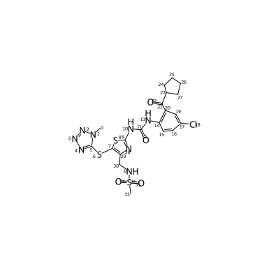 Cn1nnnc1Sc1sc(NC(=O)Nc2ccc(Cl)cc2C(=O)C2CCCC2)nc1CNS(C)(=O)=O